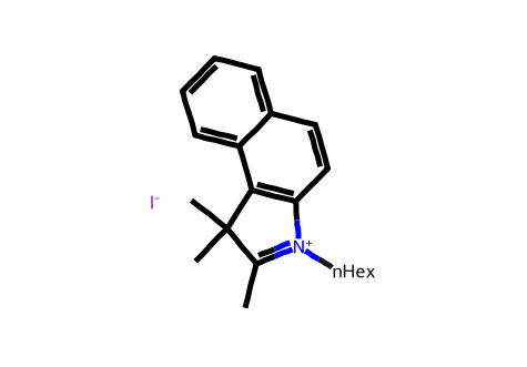 CCCCCC[N+]1=C(C)C(C)(C)c2c1ccc1ccccc21.[I-]